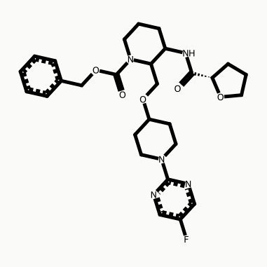 O=C(NC1CCCN(C(=O)OCc2ccccc2)C1COC1CCN(c2ncc(F)cn2)CC1)[C@@H]1CCCO1